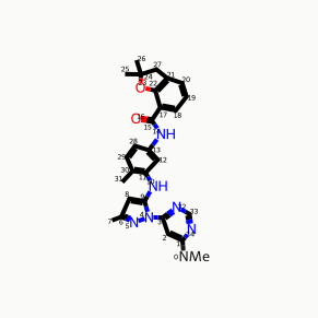 CNc1cc(-n2nc(C)cc2Nc2cc(NC(=O)c3cccc4c3OC(C)(C)C4)ccc2C)ncn1